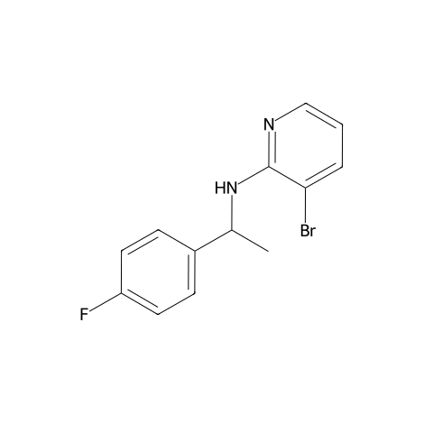 CC(Nc1ncccc1Br)c1ccc(F)cc1